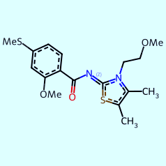 COCCn1c(C)c(C)s/c1=N\C(=O)c1ccc(SC)cc1OC